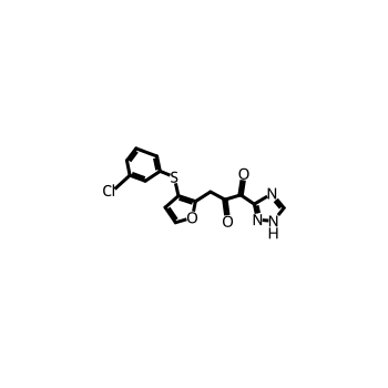 O=C(Cc1occc1Sc1cccc(Cl)c1)C(=O)c1nc[nH]n1